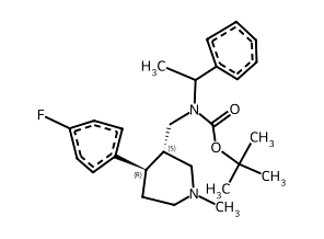 CC(c1ccccc1)N(C[C@@H]1CN(C)CC[C@H]1c1ccc(F)cc1)C(=O)OC(C)(C)C